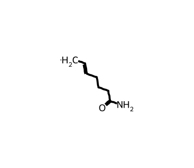 [CH2]C=CCCCC(N)=O